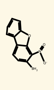 Bc1ccc2c(oc3ccccc32)c1[N+](=O)[O-]